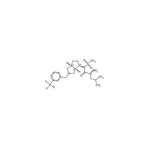 CC(C)C[C@H](N)C(=O)N([C@@H]1CC[C@H]2CN(Cc3cccc(C(F)(F)F)c3)C[C@H]21)S(C)(=O)=O